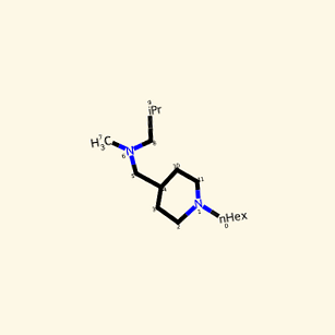 CCCCCCN1CCC(CN(C)CC(C)C)CC1